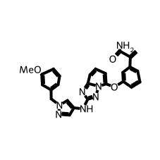 C=C(C(N)=O)c1cccc(Oc2cccc3nc(Nc4cnn(Cc5cccc(OC)c5)c4)nn23)c1